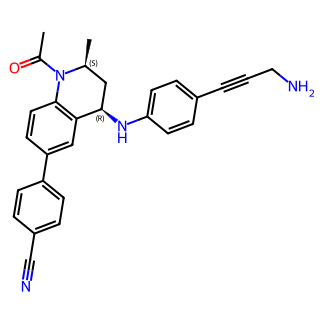 CC(=O)N1c2ccc(-c3ccc(C#N)cc3)cc2[C@H](Nc2ccc(C#CCN)cc2)C[C@@H]1C